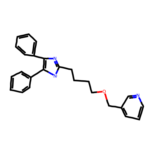 c1ccc(C2=C(c3ccccc3)N=C(CCCCOCc3cccnc3)[N]2)cc1